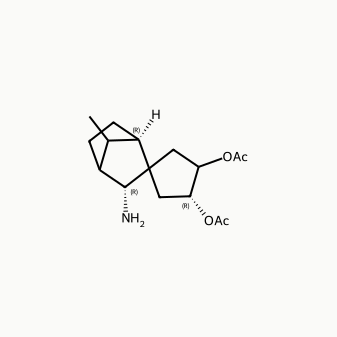 CC(=O)OC1CC2(C[C@H]1OC(C)=O)[C@H](N)C1CC[C@@H]2C1C